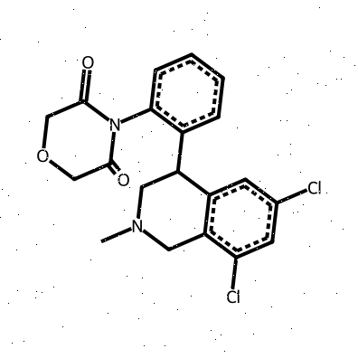 CN1Cc2c(Cl)cc(Cl)cc2C(c2ccccc2N2C(=O)COCC2=O)C1